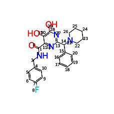 O=C(NCc1ccc(F)cc1)c1nc(C(c2ccccc2)N2CCCCC2)nc(O)c1O